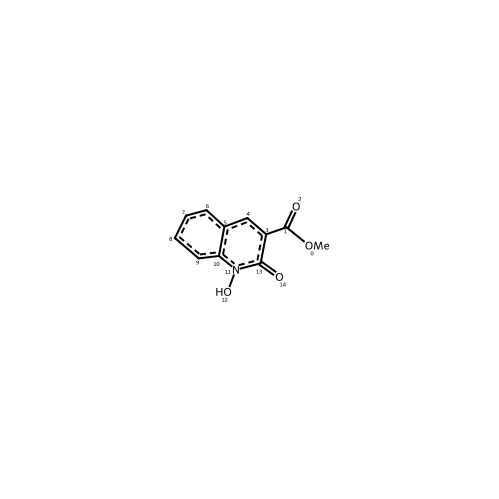 COC(=O)c1cc2ccccc2n(O)c1=O